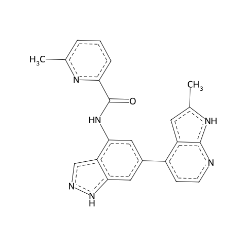 Cc1cccc(C(=O)Nc2cc(-c3ccnc4[nH]c(C)cc34)cc3[nH]ncc23)n1